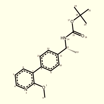 COc1ncccc1-c1ccc([C@@H](C)NC(=O)OC(C)(C)C)cc1